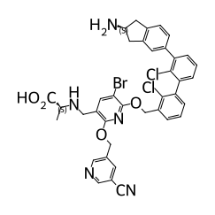 C[C@H](NCc1cc(Br)c(OCc2cccc(-c3cccc(-c4ccc5c(c4)C[C@@H](N)C5)c3Cl)c2Cl)nc1OCc1cncc(C#N)c1)C(=O)O